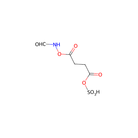 O=CNOC(=O)CCC(=O)OS(=O)(=O)O